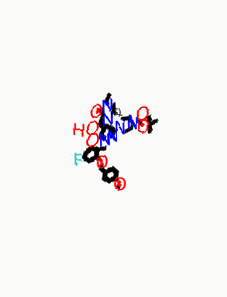 CCN1C[C@H](C)n2c(c(O)c3c(=O)n(Cc4ccc(F)cc4OCc4ccc(OC)cc4)nc(N4CCN(C(=O)OC(C)(C)C)CC4)c32)C1=O